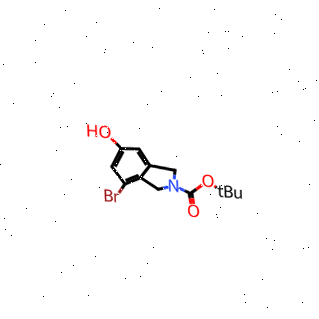 CC(C)(C)OC(=O)N1Cc2cc(O)cc(Br)c2C1